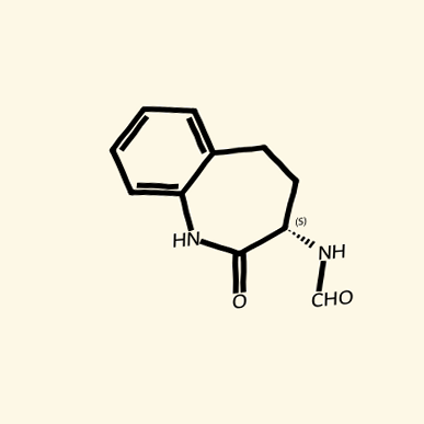 O=CN[C@H]1CCc2ccccc2NC1=O